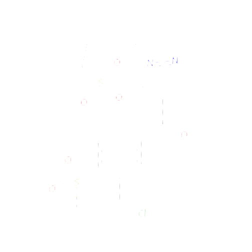 CCCS(=O)(=O)Oc1c(C(=O)c2ccc3c(c2C)C(Cl)CCS3(=O)=O)cnn1CC